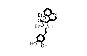 CCOP(=O)(OCC)[C@H](NCCc1ccc(O)c(O)c1)c1ccnc2ccccc12